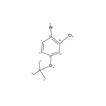 CC(C)(C)Oc1ccc(Br)c(Cl)c1